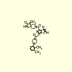 Cc1cccc(N2CCN(C(=O)Cn3nc(C(=O)N4CCC5(CC4)CNC(=O)N5C)c4c3C[C@H]3C[C@@H]43)CC2)c1C